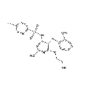 COc1ccccc1Oc1c(NS(=O)(=O)c2ccc(C(C)C)cn2)cc(C)nc1OCCO